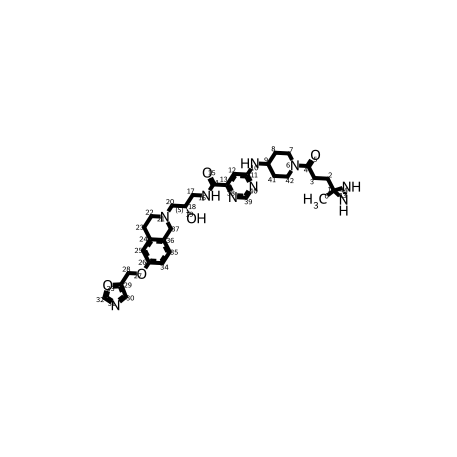 CC1(CCC(=O)N2CCC(Nc3cc(C(=O)NC[C@H](O)CN4CCc5cc(OCc6cnco6)ccc5C4)ncn3)CC2)NN1